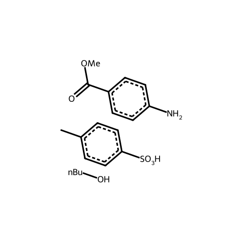 CCCCO.COC(=O)c1ccc(N)cc1.Cc1ccc(S(=O)(=O)O)cc1